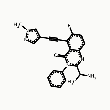 CC(N)c1nc2ccc(F)c(C#Cc3cnn(C)c3)c2c(=O)n1-c1ccccc1